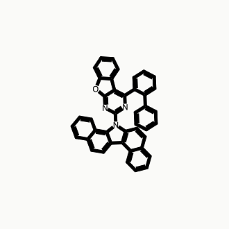 c1ccc(-c2ccccc2-c2nc(-n3c4ccc5ccccc5c4c4ccc5ccccc5c43)nc3oc4ccccc4c23)cc1